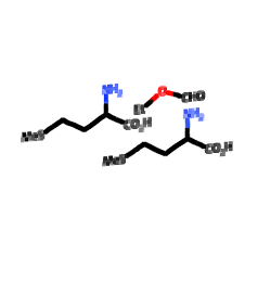 CCOC=O.CSCCC(N)C(=O)O.CSCCC(N)C(=O)O